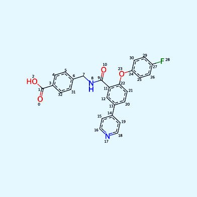 O=C(O)c1ccc(CNC(=O)c2cc(-c3ccncc3)ccc2Oc2ccc(F)cc2)cc1